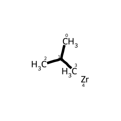 C[C](C)C.[Zr]